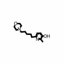 Cc1nc(CCCCCN2CCOCC2)ccc1O